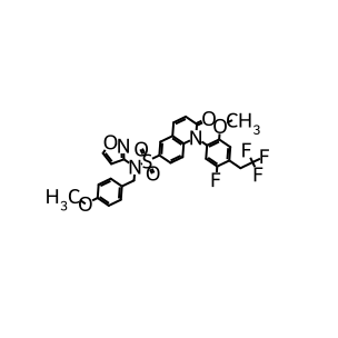 COc1ccc(CN(c2ccon2)S(=O)(=O)c2ccc3c(ccc(=O)n3-c3cc(F)c(CC(F)(F)F)cc3OC)c2)cc1